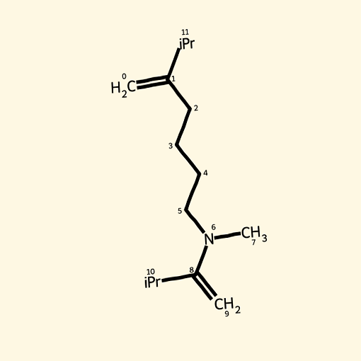 C=C(CCCCN(C)C(=C)C(C)C)C(C)C